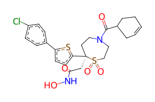 O=C(C[C@]1(c2ccc(-c3ccc(Cl)cc3)s2)CCN(C(=O)C2CC=CCC2)CCS1(=O)=O)NO